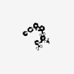 COC(=O)[C@@H]1CCCN1Cc1cc2nc(-c3cccc(-c4cccc(N5CCC(N6CCCC6)CC5)c4C)c3C)oc2cc1OC(F)F